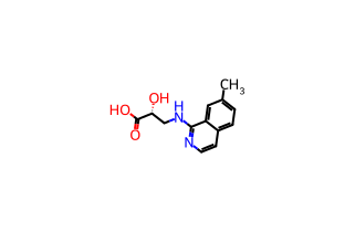 Cc1ccc2ccnc(NC[C@@H](O)C(=O)O)c2c1